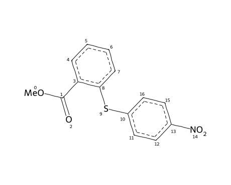 COC(=O)c1ccccc1Sc1ccc([N+](=O)[O-])cc1